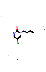 C=CCCn1cc(Br)cnc1=O